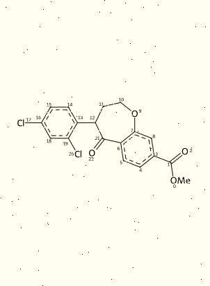 COC(=O)c1ccc2c(c1)OCCC(c1ccc(Cl)cc1Cl)C2=O